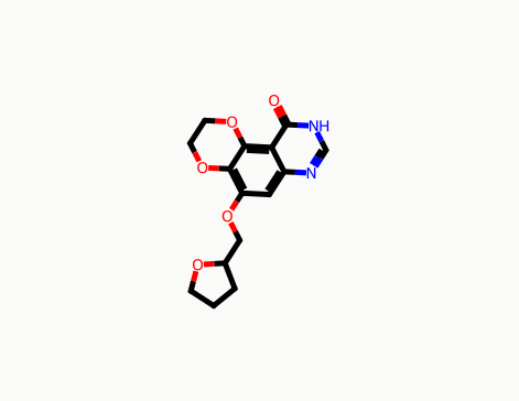 O=c1[nH]cnc2cc(OCC3CCCO3)c3c(c12)OCCO3